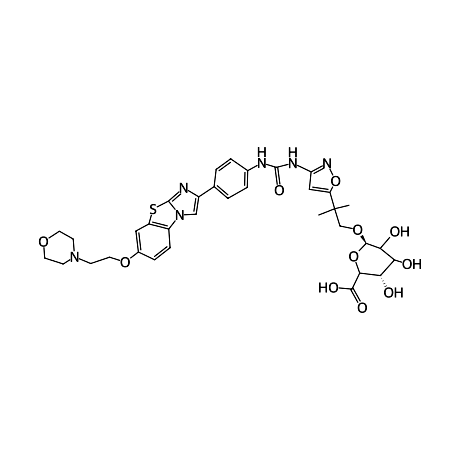 CC(C)(CO[C@@H]1OC(C(=O)O)[C@@H](O)C(O)C1O)c1cc(NC(=O)Nc2ccc(-c3cn4c(n3)sc3cc(OCCN5CCOCC5)ccc34)cc2)no1